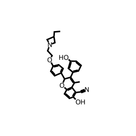 CCC1CN(CCOc2ccc(C3Oc4ccc(O)c(C#N)c4C(C)=C3c3cccc(O)c3)cc2)C1